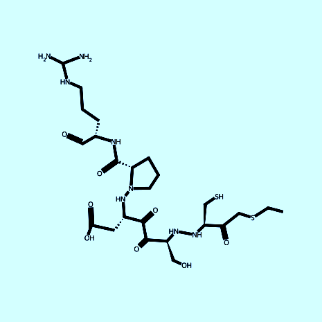 CCSCC(=O)[C@H](CS)NN[C@@H](CO)C(=O)C(=O)[C@H](CC(=O)O)NN1CCC[C@H]1C(=O)N[C@H](C=O)CCCNC(N)N